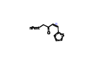 CCCCCCC(=O)/C=C\c1cccs1